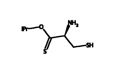 CC(C)OC(=S)[C@@H](N)CS